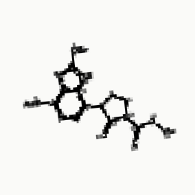 COc1nc2c(OC)ccc(C3CCN(C(=O)OC(C)(C)C)C3=O)c2[nH]1